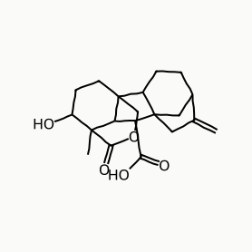 C=C1CC23CC1CCC2C12CCC(O)C(C)(C(=O)OC1)C2C3C(=O)O